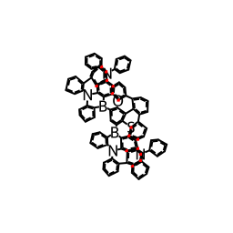 c1ccc(-c2ccccc2N2c3ccccc3B3c4cc5c(c(-c6c(-c7ccccc7)cccc6-c6ccccc6)c4Oc4cc(N(c6ccccc6)c6ccccc6)cc2c43)Sc2cc(N(c3ccccc3)c3ccccc3)cc3c2B5c2ccccc2N3c2ccccc2-c2ccccc2)cc1